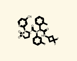 Cc1ccccc1[C@@H](C(=O)NC1CC(F)(F)C1)N(C(=O)[C@@H]1CCS(=O)(=O)N1c1cc(C#N)ccn1)c1cccc(F)c1